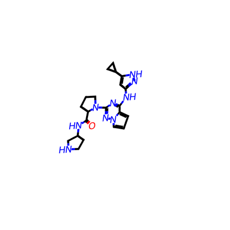 O=C(NC1CCNC1)C1CCCN1c1nc(Nc2cc(C3CC3)[nH]n2)c2cccn2n1